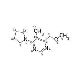 COCc1ncnc(N2CCCC2)c1C